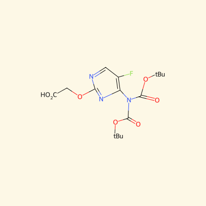 CC(C)(C)OC(=O)N(C(=O)OC(C)(C)C)c1nc(OCC(=O)O)ncc1F